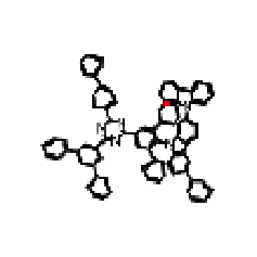 c1ccc(-c2ccc(-c3nc(-c4cc(-c5ccccc5)cc(-c5ccccc5)c4)nc(-c4cc(-c5ccccc5)c(-n5c6ccc(-c7ccccc7)cc6c6ccc(-n7c8ccccc8c8ccccc87)cc65)c(-c5ccccc5)c4)n3)cc2)cc1